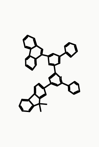 CC1(C)c2ccccc2-c2ccc(-c3cc(-c4ccccc4)nc(-c4cc(-c5ccccc5)cc(-c5cc6ccccc6c6ccccc56)c4)c3)cc21